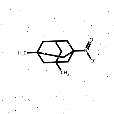 CC12CC3CC(C)(C1)CC([N+](=O)[O-])(C3)C2